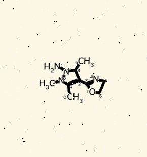 CC1=C(C2=NCCO2)C(C)N(N)N1C